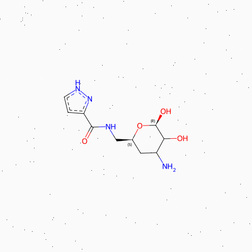 NC1C[C@@H](CNC(=O)c2cc[nH]n2)O[C@@H](O)C1O